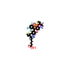 CN1c2cc3c(cc2-c2sccc2C1(C)C)C(c1c(F)c(F)cc(F)c1S(=O)(=O)O)=c1cc2c(cc1O3)=[N+](C)C(C)(CCCCCC(=O)O)c1ccsc1-2